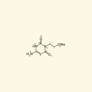 COCCn1c(=O)cc(N)[nH]c1=O